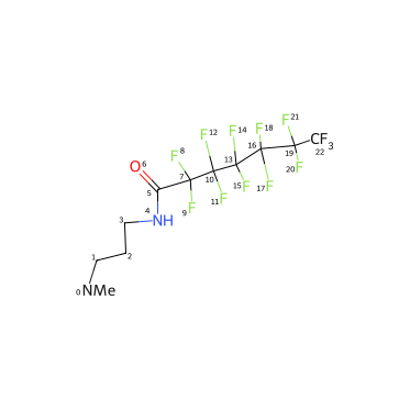 CNCCCNC(=O)C(F)(F)C(F)(F)C(F)(F)C(F)(F)C(F)(F)C(F)(F)F